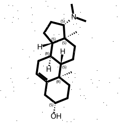 CN(C)[C@H]1CC[C@H]2[C@@H]3CC=C4C[C@@H](O)CC[C@]4(C)[C@H]3CC[C@]12C